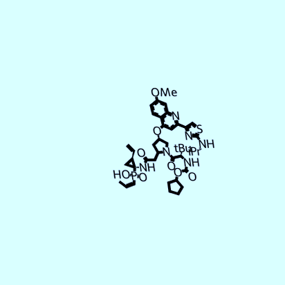 C=C[C@@H]1C[C@]1(NC(=O)CC1C[C@@H](Oc2cc(-c3csc(NC(C)C)n3)nc3cc(OC)ccc23)CN1C(=O)[C@@H](NC(=O)OC1CCCC1)C(C)(C)C)P(=O)(O)/C=C\C